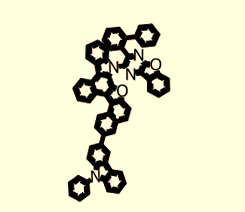 c1ccc(-c2ccccc2-c2nc3oc4ccccc4c3nc2-n2c3ccccc3c3c4ccccc4c4c(oc5ccc6cc(-c7ccc8c(c7)c7ccccc7n8-c7ccccc7)ccc6c54)c32)cc1